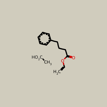 C=COC(=O)CCCc1ccccc1.CC(=O)O